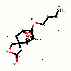 O=C1CC2(CO1)Cc1oc2cc1OCCC[SiH3]